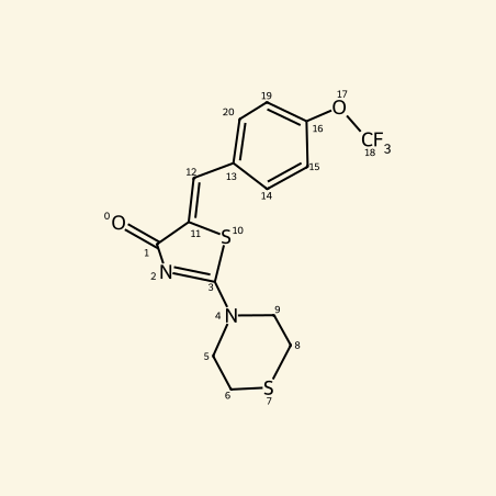 O=C1N=C(N2CCSCC2)SC1=Cc1ccc(OC(F)(F)F)cc1